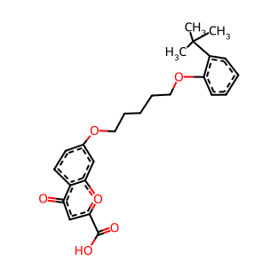 CC(C)(C)c1ccccc1OCCCCCOc1ccc2c(=O)cc(C(=O)O)oc2c1